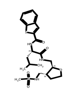 CC(C)C[C@H](NC(=O)c1cc2ccccc2s1)C(=O)NC[C@H]1OCC[C@@H]1CNS(C)(=O)=O